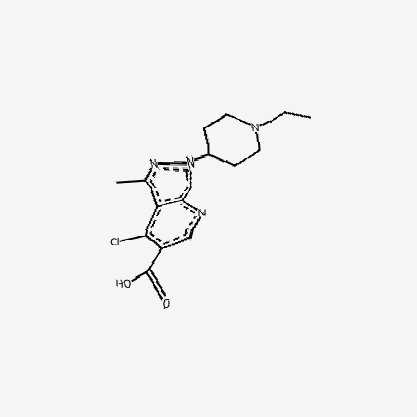 CCN1CCC(n2nc(C)c3c(Cl)c(C(=O)O)cnc32)CC1